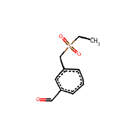 CCS(=O)(=O)Cc1cccc(C=O)c1